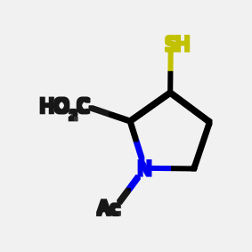 CC(=O)N1CCC(S)C1C(=O)O